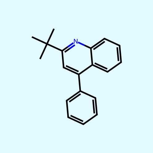 CC(C)(C)c1cc(-c2ccccc2)c2ccccc2n1